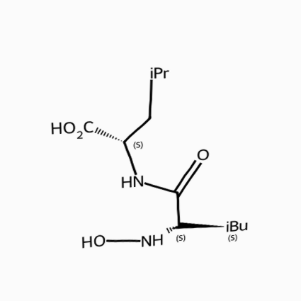 CC[C@H](C)[C@H](NO)C(=O)N[C@@H](CC(C)C)C(=O)O